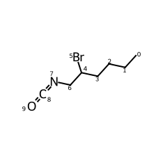 CCCCC(Br)CN=C=O